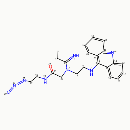 CCC(=N)N(CCNc1c2ccccc2nc2ccccc12)CC(=O)NCCN=[N+]=[N-]